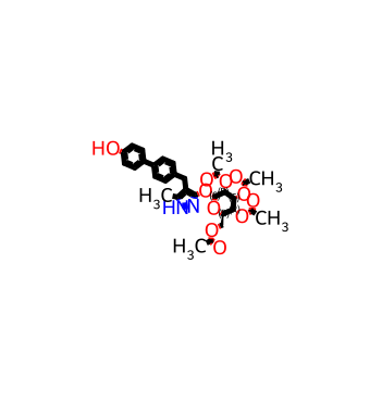 CC(=O)OC[C@H]1O[C@@H](Oc2n[nH]c(C)c2Cc2ccc(-c3ccc(O)cc3)cc2)[C@H](OC(C)=O)[C@@H](OC(C)=O)[C@@H]1OC(C)=O